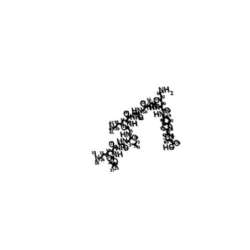 CC(C)C[C@H](NC(=O)CNC(=O)[C@H](CCCCN(C)C)NC(=O)OC(C)(C)C)C(=O)NCC(=O)N[C@@H](CCCCN(C)C)C(=O)NCC(=O)NCC(=O)N[C@@H](C)C(=O)NC(CCCCN)C(=O)Nc1ccc2nc(C3=NC(C(=O)O)CS3)sc2c1